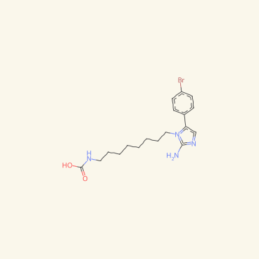 Nc1ncc(-c2ccc(Br)cc2)n1CCCCCCCCNC(=O)O